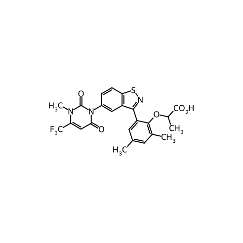 Cc1cc(C)c(OC(C)C(=O)O)c(-c2nsc3ccc(-n4c(=O)cc(C(F)(F)F)n(C)c4=O)cc23)c1